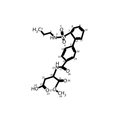 CCCNS(=O)(=O)c1ccccc1-c1ccc(C(=O)NC(CC(=O)O)C(=O)OC)cc1